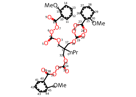 CCCC(COC(=O)OOC(=O)c1ccccc1OC)(COC(=O)OOC(=O)c1ccccc1OC)COC(=O)OOC(=O)c1ccccc1OC